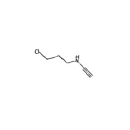 C#CNCCCCl